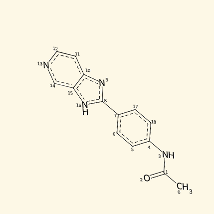 CC(=O)Nc1ccc(-c2nc3ccncc3[nH]2)cc1